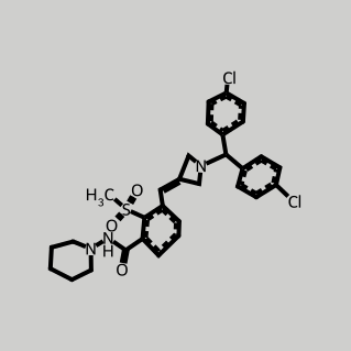 CS(=O)(=O)c1c(C=C2CN(C(c3ccc(Cl)cc3)c3ccc(Cl)cc3)C2)cccc1C(=O)NN1CCCCC1